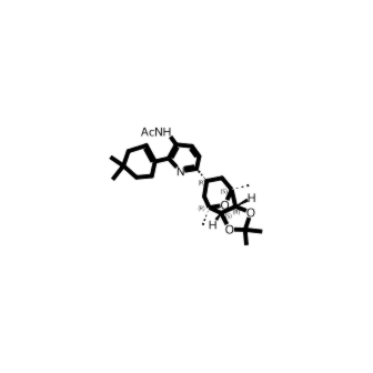 CC(=O)Nc1ccc([C@H]2C[C@@]3(C)O[C@@](C)(C2)[C@@H]2OC(C)(C)O[C@@H]23)nc1C1=CCC(C)(C)CC1